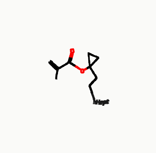 C=C(C)C(=O)OC1(CCCCCCCCC)CC1